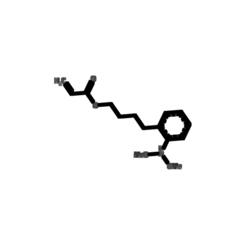 C=CC(=O)OCCCCc1ccccc1[SiH](OC)OC